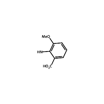 COc1cccc(C(=O)O)c1[NH]